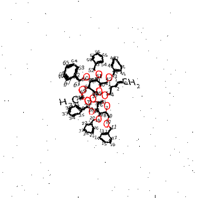 C=CCCCO[C@@H]1OC(COCc2ccccc2)[C@@H](OCc2ccccc2)[C@@H](OCc2ccccc2)C1O[C@@H]1OC(COCc2ccccc2)[C@@H](OCc2ccccc2)[C@@H](OCc2ccccc2)C1OC(C)=O